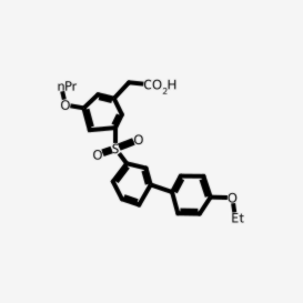 CCCOc1cc(CC(=O)O)cc(S(=O)(=O)c2cccc(-c3ccc(OCC)cc3)c2)c1